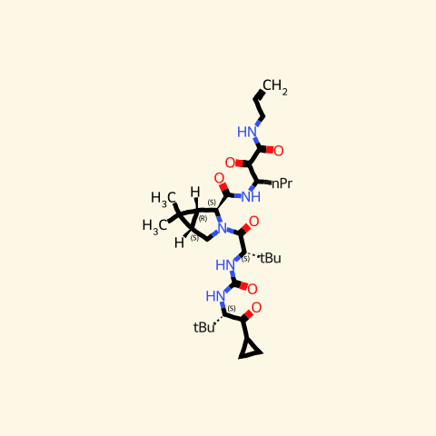 C=CCNC(=O)C(=O)C(CCC)NC(=O)[C@@H]1[C@@H]2[C@H](CN1C(=O)[C@@H](NC(=O)N[C@H](C(=O)C1CC1)C(C)(C)C)C(C)(C)C)C2(C)C